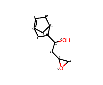 OC(CC1CO1)C1CC2=CCC1C2